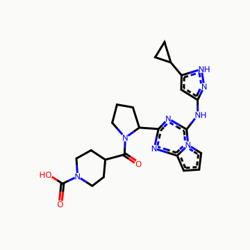 O=C(O)N1CCC(C(=O)N2CCCC2c2nc(Nc3cc(C4CC4)[nH]n3)n3cccc3n2)CC1